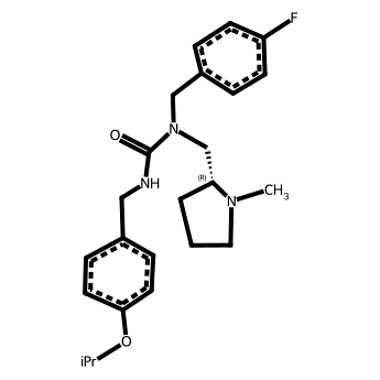 CC(C)Oc1ccc(CNC(=O)N(Cc2ccc(F)cc2)C[C@H]2CCCN2C)cc1